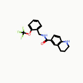 O=C(NCc1ccccc1OC(F)(F)F)c1ccc2c(c1)CCCN2